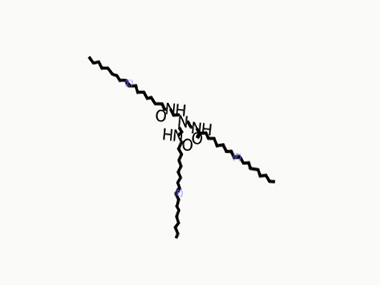 CCCCCCCC/C=C/CCCCCCCC(=O)NCCN(CCNC(=O)CCCCCCC/C=C/CCCCCCCC)CCNC(=O)CCCCCCC/C=C/CCCCCCCC